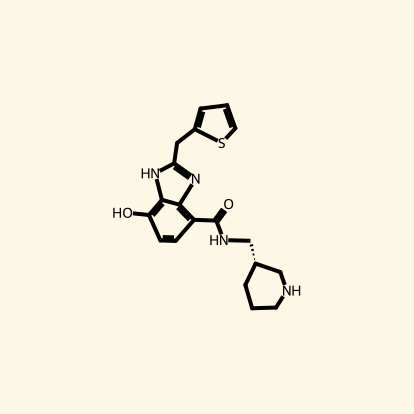 O=C(NC[C@H]1CCCNC1)c1ccc(O)c2[nH]c(Cc3cccs3)nc12